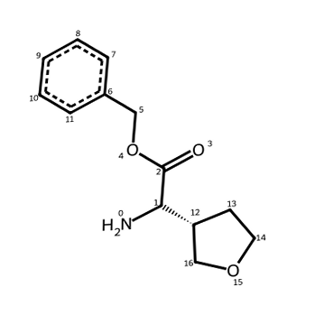 NC(C(=O)OCc1ccccc1)[C@@H]1CCOC1